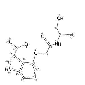 CCC(CO)NC(=O)COc1cccc2[nH]cc(C(CC)CC)c12